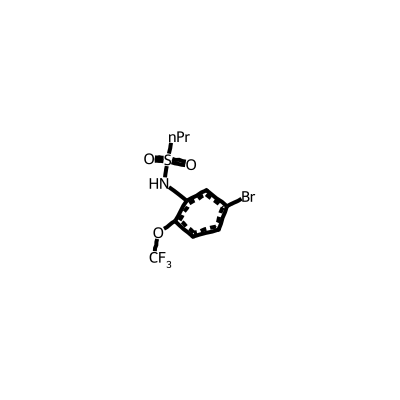 CCCS(=O)(=O)Nc1cc(Br)ccc1OC(F)(F)F